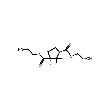 CC1(C)[C@H](C(=O)OCCO)CC[C@]1(C)C(=O)OCCO